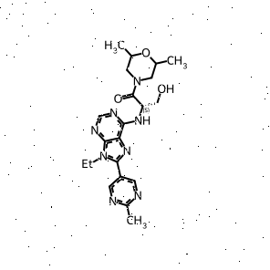 CCn1c(-c2cnc(C)nc2)nc2c(N[C@@H](CO)C(=O)N3CC(C)OC(C)C3)ncnc21